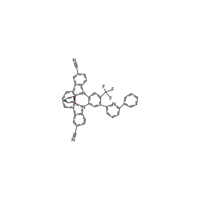 N#Cc1ccc2c(c1)c1ccccc1n2-c1cc(-c2cccc(-c3ccccc3)n2)c(C(F)(F)F)cc1-n1c2ccccc2c2cc(C#N)ccc21